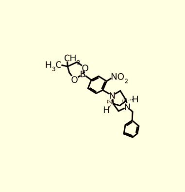 CC1(C)COB(c2ccc(N3C[C@@H]4C[C@H]3CN4Cc3ccccc3)c([N+](=O)[O-])c2)OC1